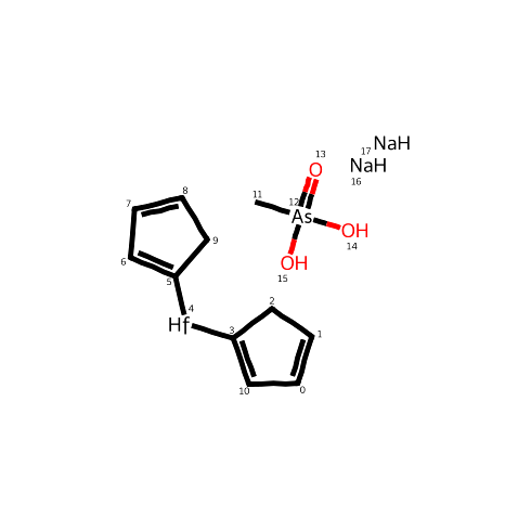 C1=CC[C]([Hf][C]2=CC=CC2)=C1.C[As](=O)(O)O.[NaH].[NaH]